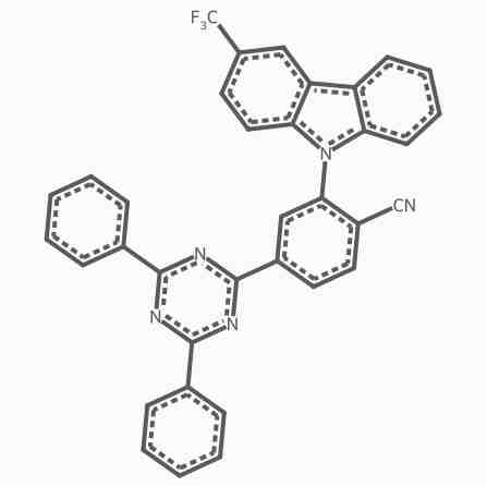 N#Cc1ccc(-c2nc(-c3ccccc3)nc(-c3ccccc3)n2)cc1-n1c2ccccc2c2cc(C(F)(F)F)ccc21